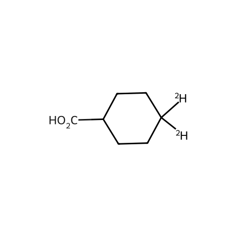 [2H]C1([2H])CCC(C(=O)O)CC1